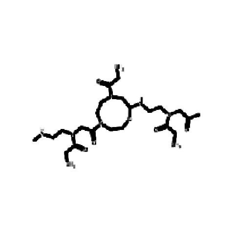 BCC(=O)N(CCNC1CN(C(=O)CB)CCN(C(=O)CN(CCNC)C(=O)CB)CCO1)CC(C)=O